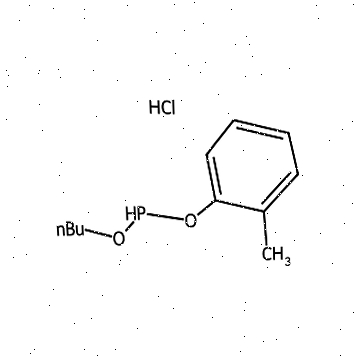 CCCCOPOc1ccccc1C.Cl